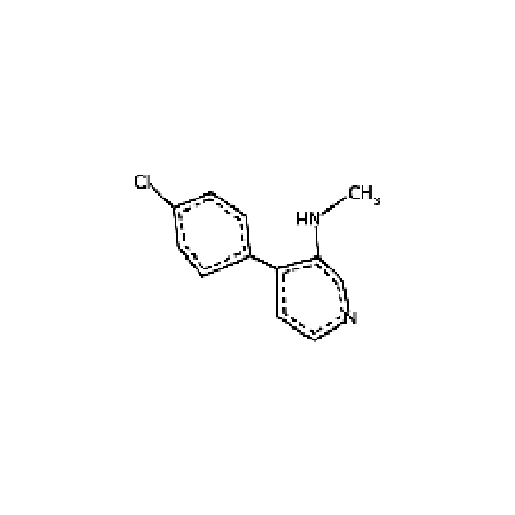 CNc1cnccc1-c1ccc(Cl)cc1